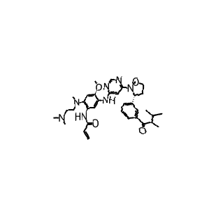 C=CC(=O)Nc1cc(Nc2cc(N3OCC[C@@H]3c3cccc(C(=O)C(C)C(C)C)c3)ncn2)c(OC)cc1N(C)CCN(C)C